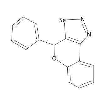 c1ccc(C2Oc3ccccc3-c3nn[se]c32)cc1